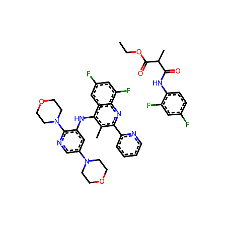 CCOC(=O)C(C)C(=O)Nc1ccc(F)cc1F.Cc1c(-c2ccccn2)nc2c(F)cc(F)cc2c1Nc1cc(N2CCOCC2)cnc1N1CCOCC1